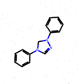 C1=NN(c2ccccc2)CN1c1ccccc1